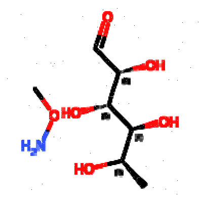 CON.C[C@@H](O)[C@H](O)[C@H](O)[C@@H](O)C=O